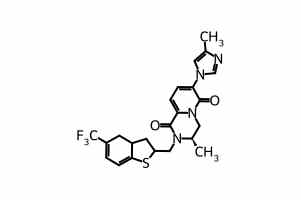 Cc1cn(-c2ccc3n(c2=O)C[C@@H](C)N(CC2CC4CC(C(F)(F)F)=CC=C4S2)C3=O)cn1